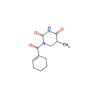 CC1CN(C(=O)C2=CCCCC2)C(=O)NC1=O